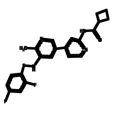 Cc1ncc(-c2ccnc(NC(=O)C3CCC3)c2)cc1NSc1ccc(F)cc1F